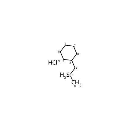 C[SiH2]CC1CCCCC1.Cl